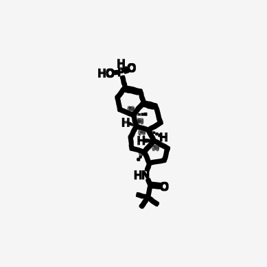 CC(C)(C)C(=O)NC1CC[C@H]2[C@@H]3CC=C4C=C([PH](=O)O)CC[C@]4(C)[C@@H]3CC[C@]12C